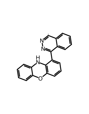 [c]1nnc(-c2cccc3c2Nc2ccccc2O3)c2ccccc12